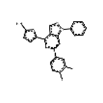 Nc1ccc(-c2nc(-c3ccc(F)c(F)c3)nc3c2cnn3-c2ccccc2)s1